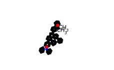 CC1(C)c2ccccc2-c2ccc(C(Cc3ccc(-c4ccc(N(c5ccccc5)c5ccccc5)cc4)c(-c4ccccc4)c3)c3ccc(-c4ccccc4)cc3)cc21